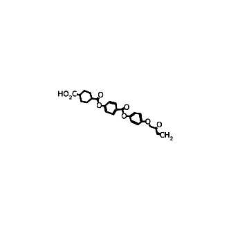 C=CC(=O)COc1ccc(OC(=O)c2ccc(OC(=O)C3CCC(C(=O)O)CC3)cc2)cc1